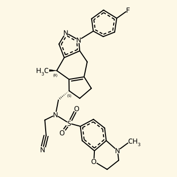 C[C@@H]1C2=C(CC[C@@H]2CN(CC#N)S(=O)(=O)c2ccc3c(c2)OCCN3C)Cc2c1cnn2-c1ccc(F)cc1